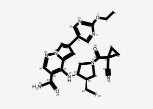 CCOc1ncc(-c2cc3c(N[C@@H]4CN(C(=O)C5(C#N)CC5)C[C@H]4CF)c(C(N)=O)cnn3c2)cn1